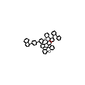 C1=CC(c2ccccc2-c2ccccc2-c2ccccc2)C(N(c2ccc(-c3ccc(-c4cccc5ccccc45)cc3)cc2)c2cccc3c2-c2ccccc2C32c3ccccc3Oc3ccccc32)C=C1